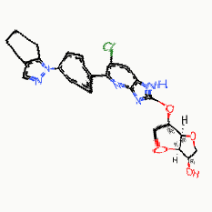 O[C@@H]1CO[C@H]2[C@@H]1OC[C@H]2Oc1nc2nc(-c3ccc(-n4ncc5c4CCC5)cc3)c(Cl)cc2[nH]1